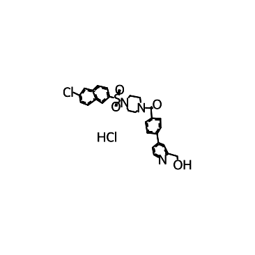 Cl.O=C(c1ccc(-c2ccnc(CO)c2)cc1)N1CCN(S(=O)(=O)c2ccc3cc(Cl)ccc3c2)CC1